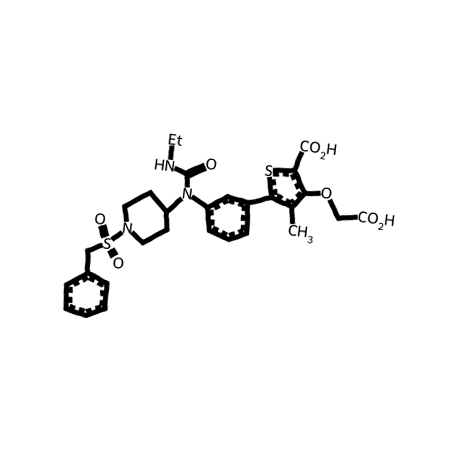 CCNC(=O)N(c1cccc(-c2sc(C(=O)O)c(OCC(=O)O)c2C)c1)C1CCN(S(=O)(=O)Cc2ccccc2)CC1